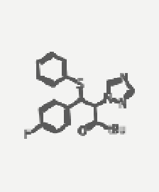 CC(C)(C)C(=O)C(C(Sc1ccccc1)c1ccc(F)cc1)n1cncn1